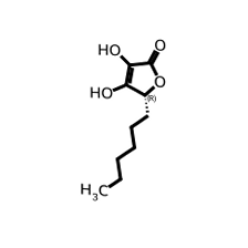 CCCCCC[C@H]1OC(=O)C(O)=C1O